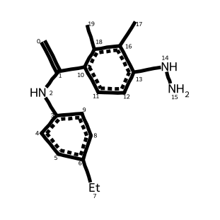 C=C(Nc1ccc(CC)cc1)c1ccc(NN)c(C)c1C